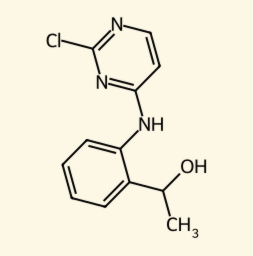 CC(O)c1ccccc1Nc1ccnc(Cl)n1